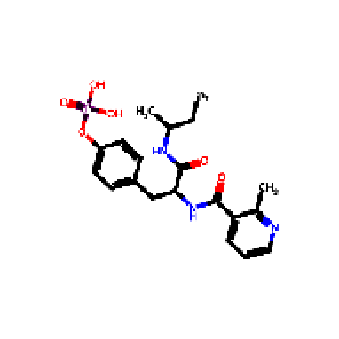 Cc1ncccc1C(=O)NC(Cc1ccc(OP(=O)(O)O)cc1)C(=O)NC(C)CC(C)C